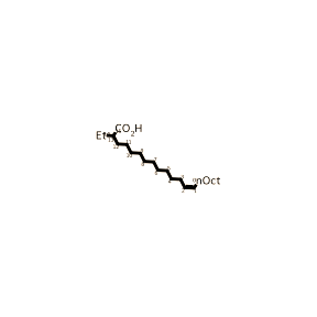 CCCCCCCC/C=C\CCCCCCCCCCC(CC)C(=O)O